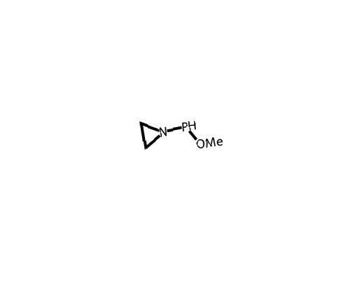 COPN1CC1